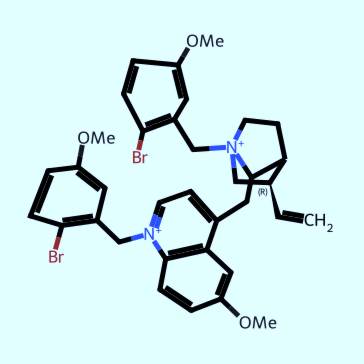 C=C[C@H]1C[N+]2(Cc3cc(OC)ccc3Br)CCC1C2Cc1cc[n+](Cc2cc(OC)ccc2Br)c2ccc(OC)cc12